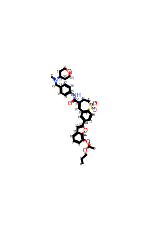 CCCOC(C)Oc1cccc2cc(-c3ccc4c(c3)C=C(C(=O)Nc3ccc(CN(C)C5CCOCC5)cc3)CCS4(=O)=O)oc12